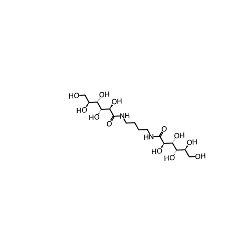 O=C(NCCCCNC(=O)[C@H](O)[C@H](O)[C@@H](O)[C@@H](O)CO)[C@H](O)[C@H](O)[C@@H](O)[C@@H](O)CO